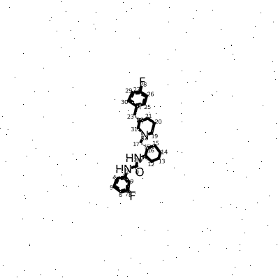 O=C(Nc1cccc(F)c1)N[C@@H]1CCCC[C@H]1CN1CCC[C@@H](Cc2ccc(F)cc2)C1